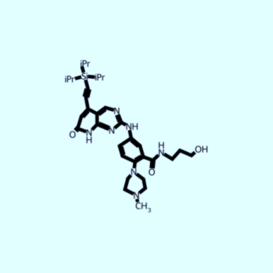 CC(C)[Si](C#Cc1cc(=O)[nH]c2nc(Nc3ccc(N4CCN(C)CC4)c(C(=O)NCCCO)c3)ncc12)(C(C)C)C(C)C